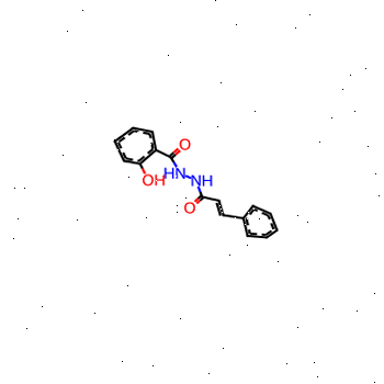 O=C(C=Cc1ccccc1)NNC(=O)c1ccccc1O